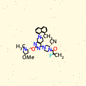 C=C(F)C(=O)N1CCN(c2nc(OC[C@@H]3C[C@@H](OC)CN3C)nc3c2CCN(c2cccc4cccc(C)c24)C3)C[C@@H]1CC#N